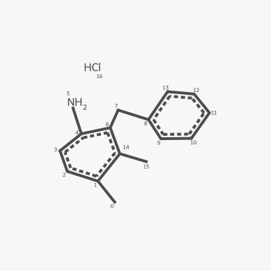 Cc1ccc(N)c(Cc2ccccc2)c1C.Cl